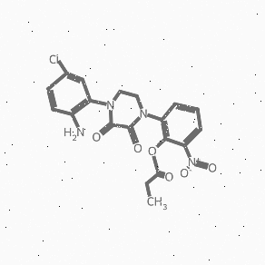 CCC(=O)Oc1c(N2CCN(c3cc(Cl)ccc3N)C(=O)C2=O)cccc1[N+](=O)[O-]